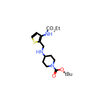 CCOC(=O)Nc1ccsc1CNC1CCN(C(=O)OC(C)(C)C)CC1